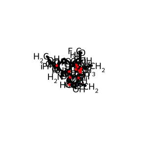 C=CCOC(=O)NC1(C)CC(OC2C(Oc3c4cc5cc3Oc3ccc(cc3Cl)[C@@H](O)[C@@H](NC(=O)[C@H](CC(C)C)N(C)C(=O)OCC=C)C(=O)N[C@@H](CC(N)=O)C(=O)N[C@H]5C(=O)N[C@H]3C(=O)N[C@H](C(=O)N[C@@H](C(=O)OCC=C)c5cc(O)cc(O)c5-c5cc3ccc5O)[C@H](O)c3ccc(c(Cl)c3)O4)OC(CNC(=O)C(F)(F)F)C(O)C2O)OC(C)C1O